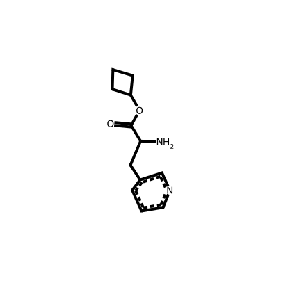 NC(Cc1cccnc1)C(=O)OC1CCC1